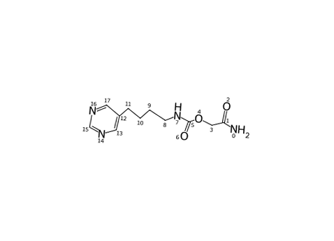 NC(=O)COC(=O)NCCCCc1cncnc1